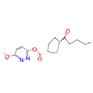 CCCCC(=O)[C@H]1CC[C@H](C(=O)Oc2ccc(OC)nn2)CC1